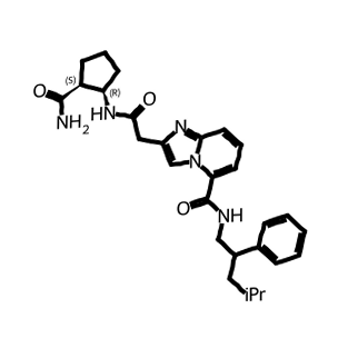 CC(C)CC(CNC(=O)c1cccc2nc(CC(=O)N[C@@H]3CCC[C@@H]3C(N)=O)cn12)c1ccccc1